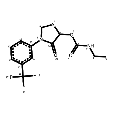 CCNC(=O)OC1SCN(c2cccc(C(F)(F)F)c2)C1=O